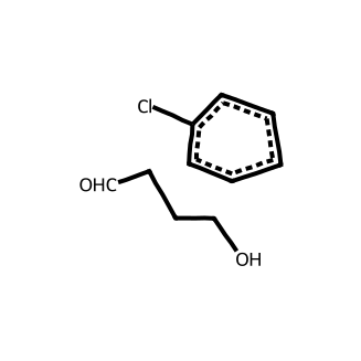 Clc1ccccc1.O=CCCCO